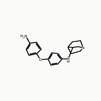 Nc1ccc(Oc2ccc(NC3CN4CCC3CC4)cc2)cc1